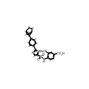 COc1cc(C(=O)O)ccc1NS(=O)(=O)c1cnc(-c2ccc(C3=CC4CCC3C4)cc2)s1